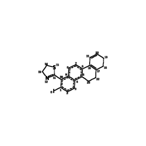 Ic1ccc2c3c(ccc2c1C1=NCCS1)C1=C(CCC=C1)CC3